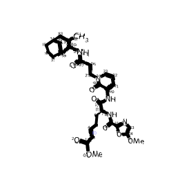 COC(=O)/C=C/CC[C@H](NC(=O)c1ncc(OC)o1)C(=O)Nc1cccn(CCC(=O)NC2C(C)CC3CCCC2C3)c1=O